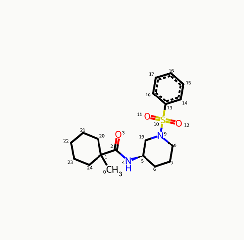 CC1(C(=O)N[C@@H]2CCCN(S(=O)(=O)c3ccccc3)C2)CCCCC1